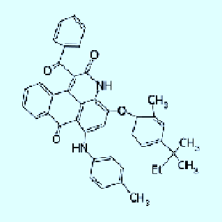 CCC(C)(C)C1=CCC(Oc2cc(Nc3ccc(C)cc3)c3c4c(c(C(=O)c5ccccc5)c(=O)[nH]c24)-c2ccccc2C3=O)C(C)=C1